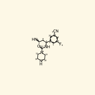 N#Cc1cc(F)cc([C@H](CC=N)NC(=O)N2CCNCC2)c1